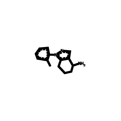 Cc1ccccc1-n1ncc2c1CCCC2N